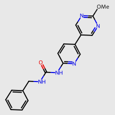 COc1ncc(-c2ccc(NC(=O)NCc3ccccc3)nc2)cn1